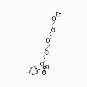 CCOCCOCCOCCOCCOS(=O)(=O)c1ccc(C)cc1